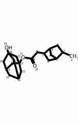 CC1CC2CC1CC2CC(=O)OC12CC3CC(CC(O)(C3)C1)C2